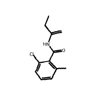 C=C(CC)NC(=O)c1c(C)cccc1Cl